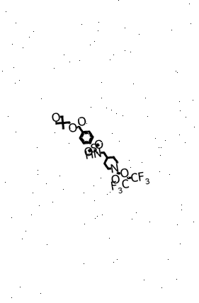 CC1(COC(=O)c2ccc(S(=O)(=O)NCC3CCN(C(=O)OC(C(F)(F)F)C(F)(F)F)CC3)cc2)COC1